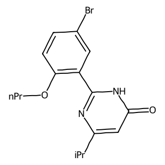 CCCOc1ccc(Br)cc1-c1nc(C(C)C)cc(=O)[nH]1